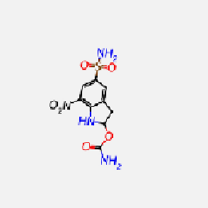 NC(=O)OC1Cc2cc(S(N)(=O)=O)cc([N+](=O)[O-])c2N1